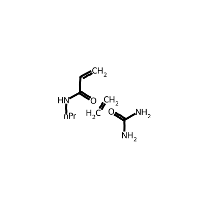 C=C.C=CC(=O)NCCC.NC(N)=O